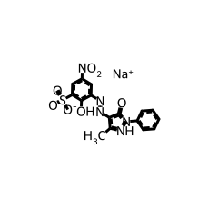 Cc1[nH]n(-c2ccccc2)c(=O)c1N=Nc1cc([N+](=O)[O-])cc(S(=O)(=O)[O-])c1O.[Na+]